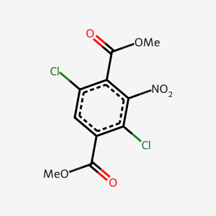 COC(=O)c1cc(Cl)c(C(=O)OC)c([N+](=O)[O-])c1Cl